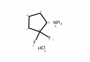 Cl.FC1(F)CCCC1.N